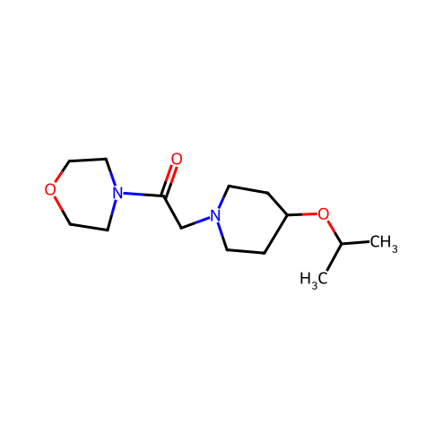 CC(C)OC1CCN(CC(=O)N2CCOCC2)CC1